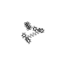 [O-][Cl+3]([O-])([O-])[O-].[O-][Cl+3]([O-])([O-])[O-].c1ccc(-c2c[n+]3ccccc3n2CCCCCCCCn2c(-c3ccccc3)c[n+]3ccccc23)cc1